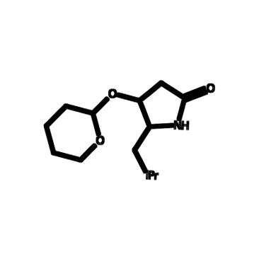 CC(C)CC1NC(=O)CC1OC1CCCCO1